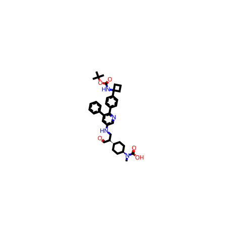 CN(C(=O)O)[C@H]1CC[C@H](C(C=O)CNc2cnc(-c3ccc(C4(NC(=O)OC(C)(C)C)CCC4)cc3)c(-c3ccccc3)c2)CC1